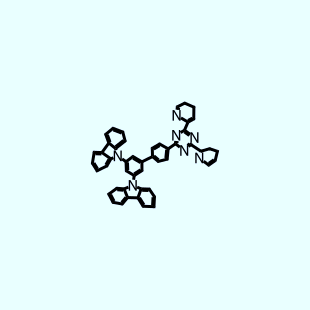 C1=CN=C(c2nc(C3=CCCC=N3)nc(-c3ccc(-c4cc(-n5c6ccccc6c6ccccc65)cc(-n5c6ccccc6c6ccccc65)c4)cc3)n2)CC1